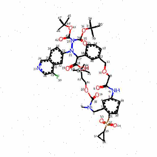 CN(Cc1cc(NC(=O)COCc2cccc(C(C(=O)O)N(c3ccc4cncc(F)c4c3)N(C(=O)OC(C)(C)C)C(=O)OC(C)(C)C)c2)ccc1S(=O)(=O)C1CC1)C(=O)OCC[Si](C)(C)C